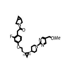 COCc1cnc(N2CCC([C@H]3C[C@H]3CCOc3ccc(CC(=O)N4CC5CC5C4)c(F)c3)CC2)nc1